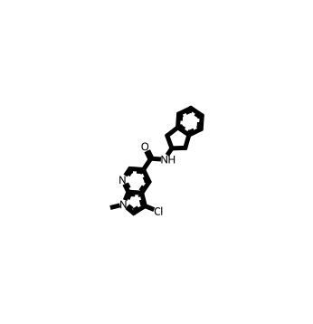 Cn1cc(Cl)c2cc(C(=O)NC3Cc4ccccc4C3)cnc21